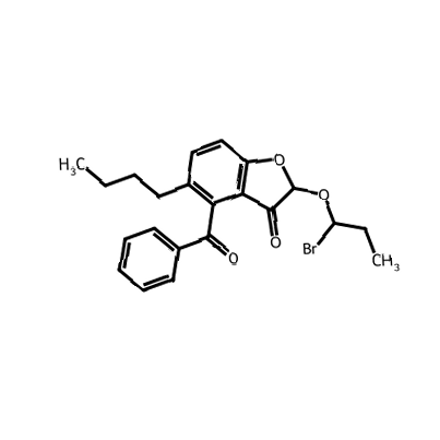 CCCCc1ccc2c(c1C(=O)c1ccccc1)C(=O)C(OC(Br)CC)O2